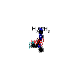 CN(C)c1ccc(N2CCN(C(=O)C(=O)/C=C(\O)c3cc(Cc4cc(F)c(F)c(F)c4)cn(Cc4ccccc4)c3=O)CC2)cc1